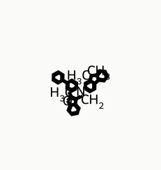 C=C(c1c(C)oc2ccccc12)N(c1ccc(-c2ccccc2)cc1)c1ccc2c(c1)C(C)(C)c1ccccc1-2